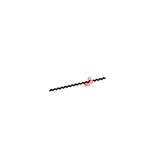 CCCCCCCCCCCCCCCCCCCCCCC(O)C(=O)OCCCCCCCC